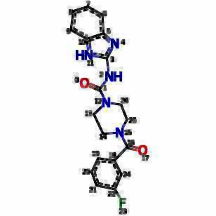 O=C(Nc1nc2ccccc2[nH]1)N1CCN(C(=O)c2cccc(F)c2)CC1